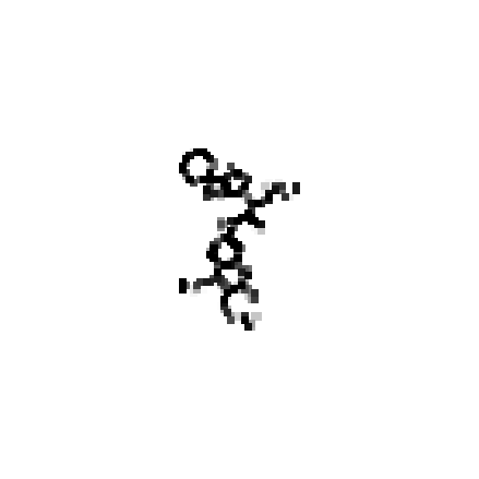 Cc1c(CC(=O)O)c(=O)oc2cc(NC(=O)C(CC(=O)O)n3cc(C4(O)CCCCC4)nn3)ccc12